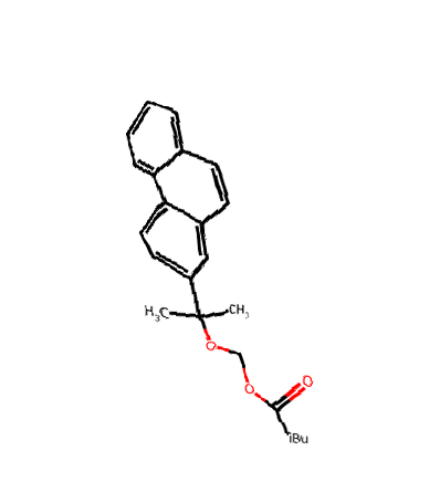 CCC(C)C(=O)OCOC(C)(C)c1ccc2c(ccc3ccccc32)c1